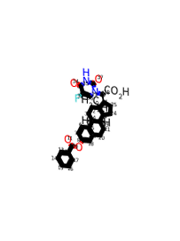 C[C@]12CC[C@@H]3c4ccc(OC(=O)c5ccccc5)cc4CC[C@H]3[C@@H]1CC[C@@H]2C(C(=O)O)n1cc(F)c(=O)[nH]c1=O